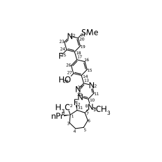 CCC[C@]1(C)CCCC[C@H](N(C)c2cnc(-c3ccc(-c4cc(SC)ncc4F)cc3O)nn2)[C@@H]1F